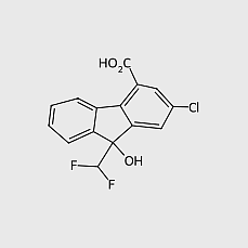 O=C(O)c1cc(Cl)cc2c1-c1ccccc1C2(O)C(F)F